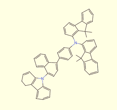 CC1(C)c2ccccc2-c2cccc(N(c3ccc(-c4ccc(-n5c6c(c7ccccc75)CCC=C6)c5ccccc45)cc3)c3cccc4c3C(C)(C)c3ccccc3-4)c21